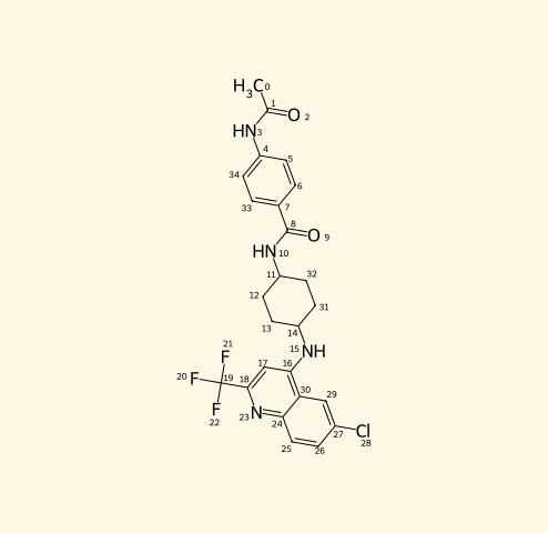 CC(=O)Nc1ccc(C(=O)NC2CCC(Nc3cc(C(F)(F)F)nc4ccc(Cl)cc34)CC2)cc1